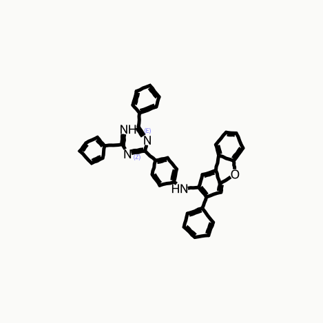 N=C(/N=C(\N=C\c1ccccc1)c1ccc(Nc2cc3c(cc2-c2ccccc2)oc2ccccc23)cc1)c1ccccc1